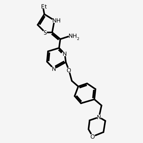 CCC1=CS/C(=C(/N)c2ccnc(OCc3ccc(CN4CCOCC4)cc3)n2)N1